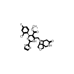 COC(=O)C1=C(CN2C3COCC34CNC(=O)CC24)NC(c2nccs2)=N[C@H]1c1ccc(F)cc1Cl